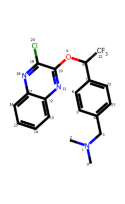 CN(C)Cc1ccc(C(Oc2nc3ccccc3nc2Cl)C(F)(F)F)cc1